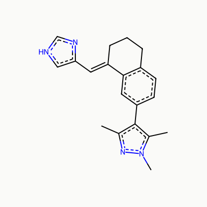 Cc1nn(C)c(C)c1-c1ccc2c(c1)/C(=C/c1c[nH]cn1)CCC2